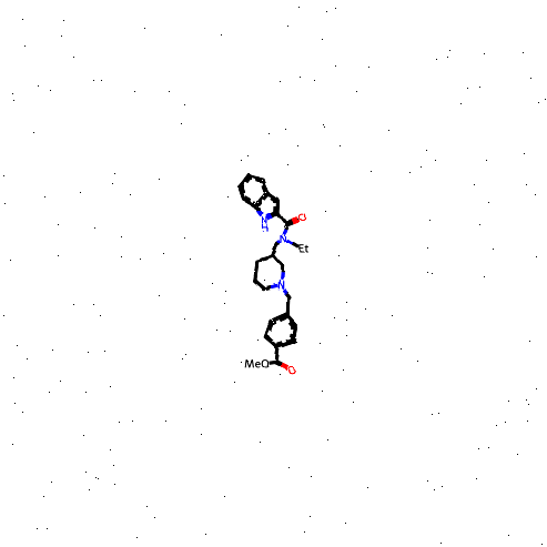 CCN(CC1CCCN(Cc2ccc(C(=O)OC)cc2)C1)C(=O)c1cc2ccccc2[nH]1